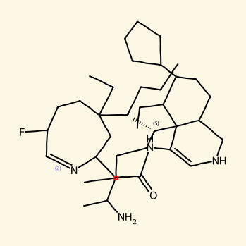 CCCC[C@H](C)C12C(NC(=O)C(C(C)N)C3CC(CC)(CCCC)CCC(F)/C=N\3)=CNCC1CCC(C1CCCC1)C2CC